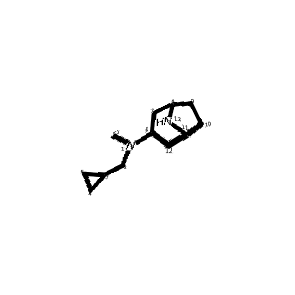 CN(CC1CC1)C1CC2CCC(C1)N2